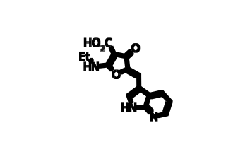 CCNC1=C(C(=O)O)C(=O)/C(=C/c2c[nH]c3ncccc23)O1